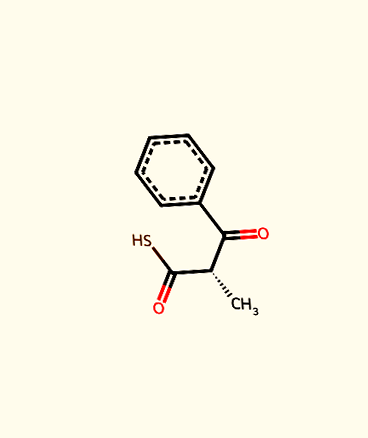 C[C@H](C(=O)S)C(=O)c1ccccc1